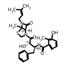 CC(C)=CCN1C(=O)[C@H]2N(C(=O)[C@@H](O)[C@H](Cc3ccccc3)NC(=O)c3cccc(O)c3C)CSC21C